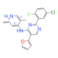 C=C/C=C(Nc1nc(-c2cc(Cl)ccc2F)ncc1-c1ccco1)\C(C)=C/N